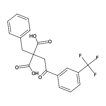 O=C(CC(Cc1ccccc1)(C(=O)O)C(=O)O)c1cccc(C(F)(F)F)c1